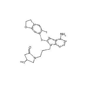 Nc1ncnc2c1nc(Sc1cc3c(cc1I)CCO3)n2CCCN1CC(O)CC1=O